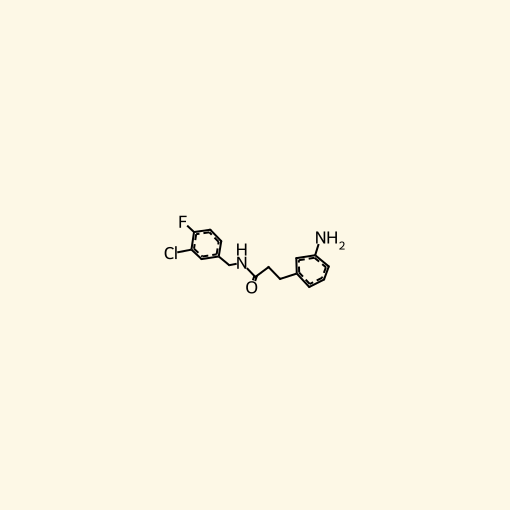 Nc1cccc(CCC(=O)NCc2ccc(F)c(Cl)c2)c1